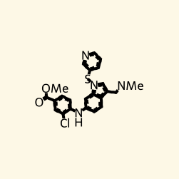 CNCc1cn(Sc2cccnc2)c2cc(Nc3ccc(C(=O)OC)cc3Cl)ccc12